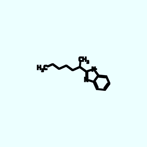 CCCCCC(C)C1=Nc2ccccc2[N]1